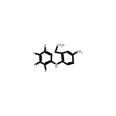 Cc1ccc(Nc2cc(F)c(F)c(F)c2F)c(CC(=O)O)c1